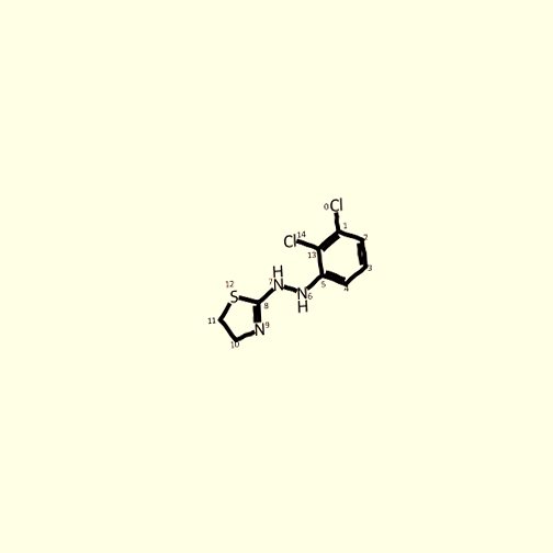 Clc1cccc(NNC2=NCCS2)c1Cl